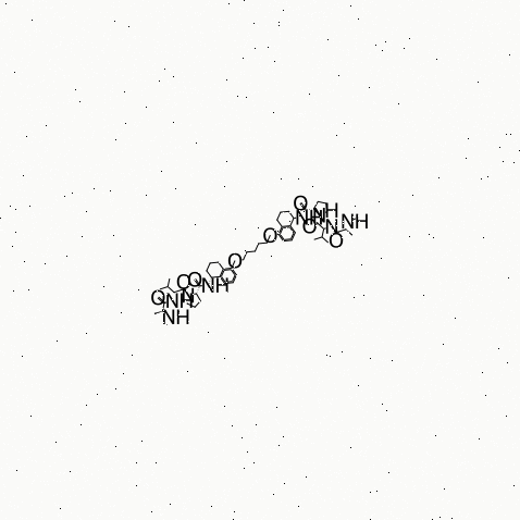 CN[C@@H](C)C(=O)NC(C(=O)N1CCC[C@H]1C(=O)N[C@@H]1CCCc2c(OCCCCCOc3cccc4c3CCC[C@H]4NC(=O)[C@@H]3CCCN3C(=O)[C@@H](NC(=O)[C@H](C)NC)C(C)C)cccc21)C(C)C